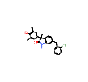 Cc1cc(C2(C)C(=O)Nc3cc(Cc4ccccc4Cl)ccc32)cc(C)c1O